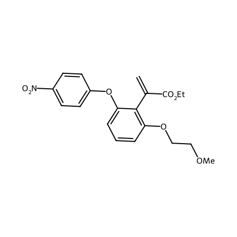 C=C(C(=O)OCC)c1c(OCCOC)cccc1Oc1ccc([N+](=O)[O-])cc1